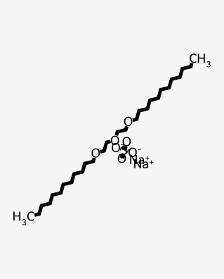 CCCCCCCCCCCCOCCOCCOCCCCCCCCCCCC.O=S(=O)([O-])[O-].[Na+].[Na+]